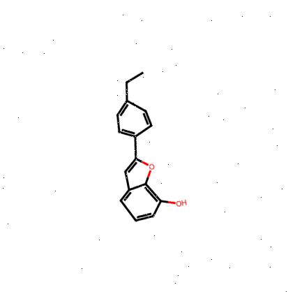 CCc1ccc(-c2cc3cccc(O)c3o2)cc1